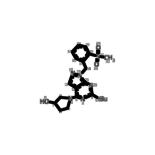 CC(C)(C)c1nc(N2CCC(O)C2)c2cnn(Cc3ccccc3S(C)(=O)=O)c2n1